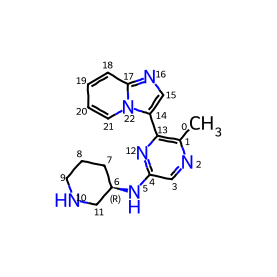 Cc1ncc(N[C@@H]2CCCNC2)nc1-c1cnc2ccccn12